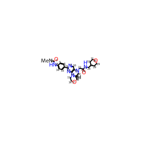 CNC(=O)Nc1ccc(-c2ncc3c(n2)N2CCOC[C@H]2CN3CC(=O)NCC2CCOCC2)cc1